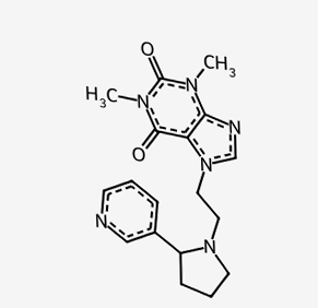 Cn1c(=O)c2c(ncn2CCN2CCCC2c2cccnc2)n(C)c1=O